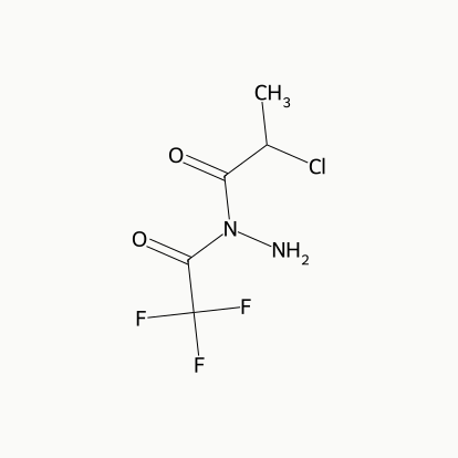 CC(Cl)C(=O)N(N)C(=O)C(F)(F)F